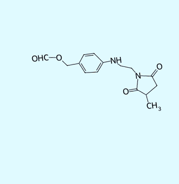 CC1CC(=O)N(CCNc2ccc(COC=O)cc2)C1=O